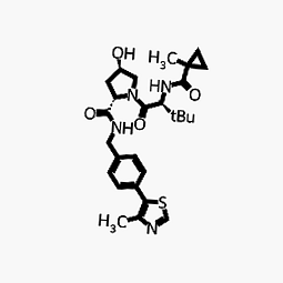 Cc1ncsc1-c1ccc(CNC(=O)[C@@H]2C[C@@H](O)CN2C(=O)[C@@H](NC(=O)C2(C)CC2)C(C)(C)C)cc1